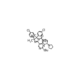 CCOc1nc(C(C)(C)C)ncc1C1=NC(C)(c2ccc(Cl)cc2)C(C)(c2ccc(Cl)cc2)N1C(=O)N1CCC(N2CCCC2)CC1